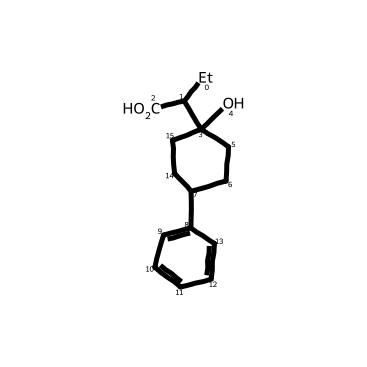 CCC(C(=O)O)C1(O)CCC(c2ccccc2)CC1